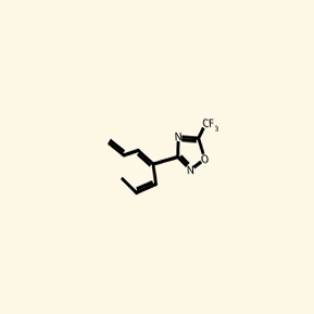 C=C/C=C(\C=C/C)c1noc(C(F)(F)F)n1